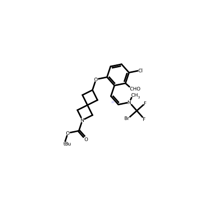 CN(/C=C\c1c(OC2CC3(C2)CN(C(=O)OC(C)(C)C)C3)ccc(Cl)c1C=O)C(F)(F)Br